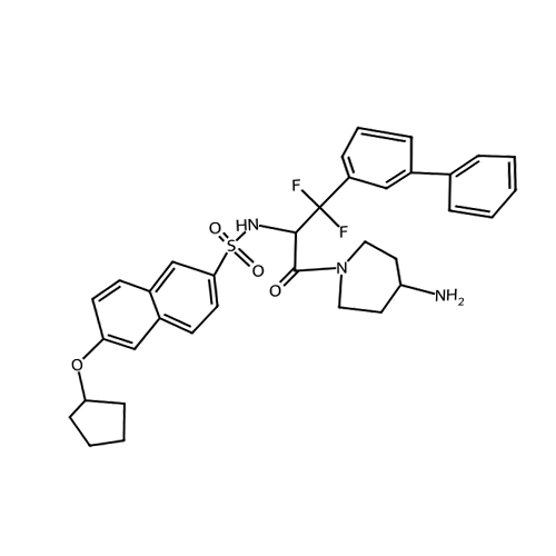 NC1CCN(C(=O)C(NS(=O)(=O)c2ccc3cc(OC4CCCC4)ccc3c2)C(F)(F)c2cccc(-c3ccccc3)c2)CC1